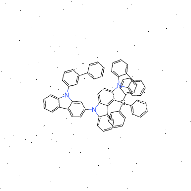 c1ccc(-c2cccc(-n3c4ccccc4c4ccc(-n5c6ccccc6c6c([Si](c7ccccc7)(c7ccccc7)c7ccccc7)c(-n7c8ccccc8c8ccccc87)ccc65)cc43)c2)cc1